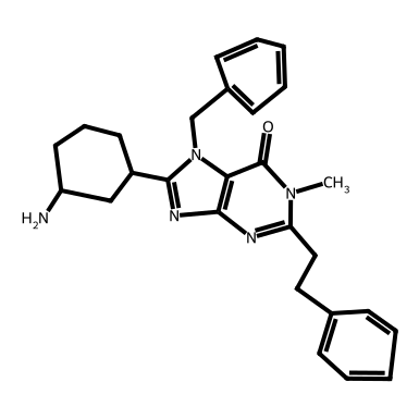 Cn1c(CCc2ccccc2)nc2nc(C3CCCC(N)C3)n(Cc3ccccc3)c2c1=O